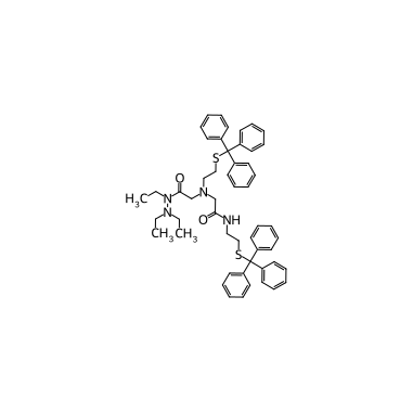 CCN(CC)N(CC)C(=O)CN(CCSC(c1ccccc1)(c1ccccc1)c1ccccc1)CC(=O)NCCSC(c1ccccc1)(c1ccccc1)c1ccccc1